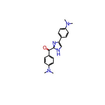 CN(C)c1ccc(C(=O)c2nc(-c3ccc(N(C)C)cc3)c[nH]2)cc1